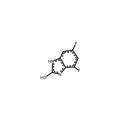 Oc1nc2c(F)cc(F)cc2[nH]1